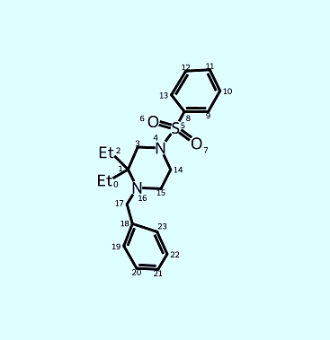 CCC1(CC)CN(S(=O)(=O)c2ccccc2)CCN1Cc1ccccc1